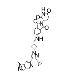 Cn1ncc2cnc(-c3cn([C@H]4C[C@H](CNc5ccc6c(c5)C(=O)N(C5CCC(=O)NC5=O)C6=O)C4)nc3C3CC3)cc21